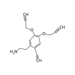 C#CCOc1cc(C#C)c(CCN)cc1OCC#C